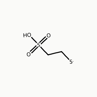 O=S(=O)(O)CC[S]